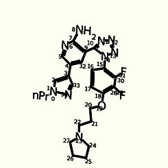 CCCn1cc(-c2cnc(N)c(-c3nnnn3-c3ccc(OCCCN4CCCC4)c(F)c3F)c2)cn1